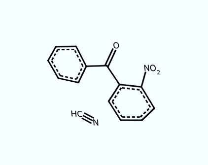 C#N.O=C(c1ccccc1)c1ccccc1[N+](=O)[O-]